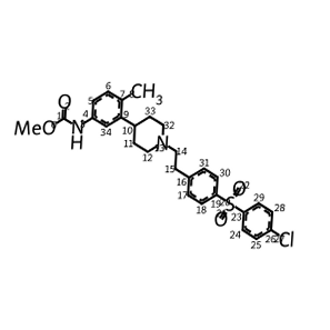 COC(=O)Nc1ccc(C)c(C2CCN(CCc3ccc(S(=O)(=O)c4ccc(Cl)cc4)cc3)CC2)c1